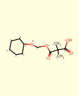 CC(C)(C(=O)O)C(=O)OCOC1CCCCC1